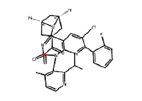 C=CC(=O)N1C[C@H]2C[C@@H](C1)N2c1nc(=O)n(-c2c(C)ccnc2C(C)C)c2nc(-c3ccccc3F)c(Cl)cc12